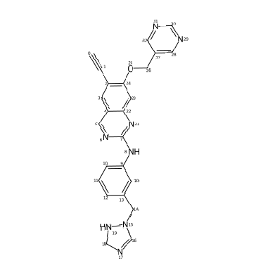 C#Cc1cc2cnc(Nc3cccc(CN4C=NCN4)c3)nc2cc1OCc1cncnc1